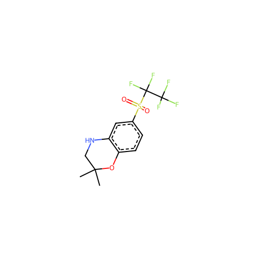 CC1(C)CNc2cc(S(=O)(=O)C(F)(F)C(F)(F)F)ccc2O1